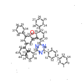 c1ccc(-c2ccc(-c3nc(-c4ccccc4)nc(-c4ccc(-c5ccccc5)c5oc6c(-c7ccccc7)cc(-c7ccccc7)cc6c45)n3)cc2)cc1